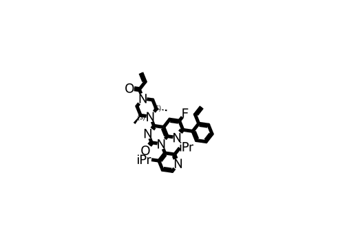 C=CC(=O)N1C[C@H](C)N(c2nc(=O)n(-c3c(C(C)C)ccnc3C(C)C)c3nc(-c4ccccc4C=C)c(F)cc23)[C@@H](C)C1